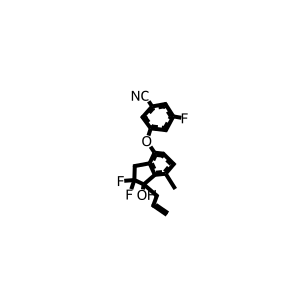 C=CCC1(O)c2c(C)ccc(Oc3cc(F)cc(C#N)c3)c2CC1(F)F